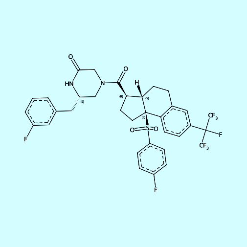 O=C1CN(C(=O)[C@@H]2CC[C@@]3(S(=O)(=O)c4ccc(F)cc4)c4ccc(C(F)(C(F)(F)F)C(F)(F)F)cc4CC[C@@H]23)C[C@H](Cc2cccc(F)c2)N1